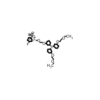 CCOCCOc1cccc([S+](c2cccc(OCCOCC)c2)c2cccc(OCCOCC)c2)c1.O=S(=O)([O-])c1ccc(F)cc1